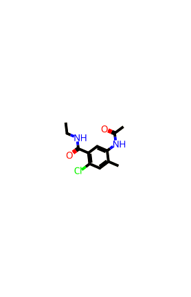 CCNC(=O)c1cc(NC(C)=O)c(C)cc1Cl